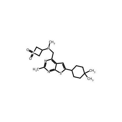 Cc1nc(CN(C)C2CS(=O)(=O)C2)c2cc(C3CCC(C)(C)CC3)sc2n1